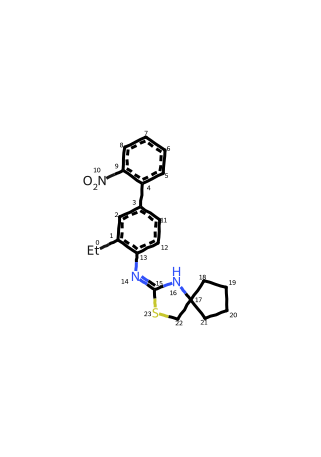 CCc1cc(-c2ccccc2[N+](=O)[O-])ccc1/N=C1\NC2(CCCC2)CS1